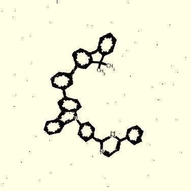 CC1(C)c2ccccc2-c2ccc(-c3cccc(-c4ccc5c(c4)c4ccccc4n5-c4ccc(C5N=CC=C(c6ccccc6)N5)cc4)c3)cc21